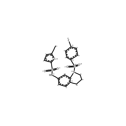 Cc1ccc(S(=O)(=O)Nc2ccc3c(c2)N(S(=O)(=O)c2ccc(F)cc2)CCC3)s1